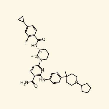 C[C@@H]1[C@H](NC(=O)c2ccc(C3CC3)cc2F)CCCN1c1cnc(C(N)=O)c(Nc2ccc(C3(C)CCN(C4CCCC4)CC3)cc2)n1